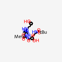 COC(=O)C(CNC(=O)c1cc(O)cc(OCCCNC(=O)OC(C)(C)C)c1)NC(=O)c1c(C)nc(NCCCc2cccc(O)c2)nc1C